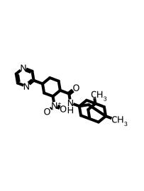 CC12CC3CC(C)(C1)CC(NC(=O)C1CCC(c4cnccn4)CC1[N+](=O)[O-])(C3)C2